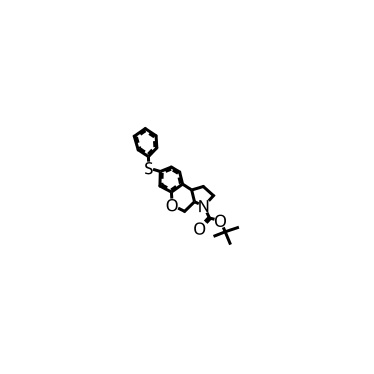 CC(C)(C)OC(=O)N1CCC2c3ccc(Sc4ccccc4)cc3OCC21